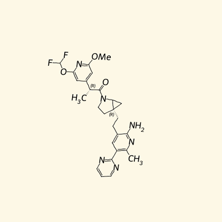 COc1cc([C@@H](C)C(=O)N2CC[C@]3(CCc4cc(-c5ncccn5)c(C)nc4N)CC23)cc(OC(F)F)n1